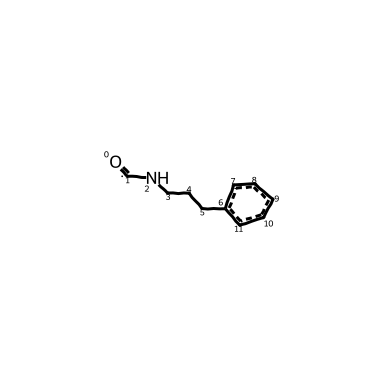 O=[C]NCCCc1ccccc1